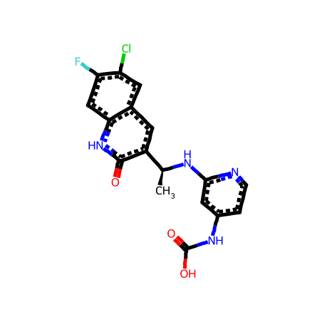 C[C@H](Nc1cc(NC(=O)O)ccn1)c1cc2cc(Cl)c(F)cc2[nH]c1=O